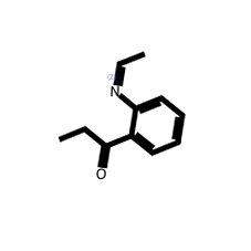 C/C=N\c1ccccc1C(=O)CC